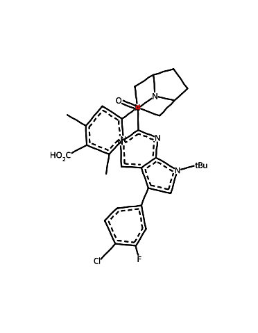 Cc1cc(N2CC3CCC(C2)N3C(=O)c2ncc3c(-c4ccc(Cl)c(F)c4)cn(C(C)(C)C)c3n2)nc(C)c1C(=O)O